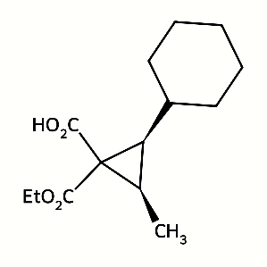 CCOC(=O)C1(C(=O)O)[C@H](C)[C@@H]1C1CCCCC1